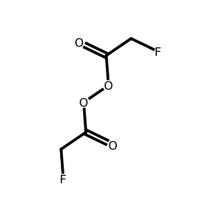 O=C(CF)OOC(=O)CF